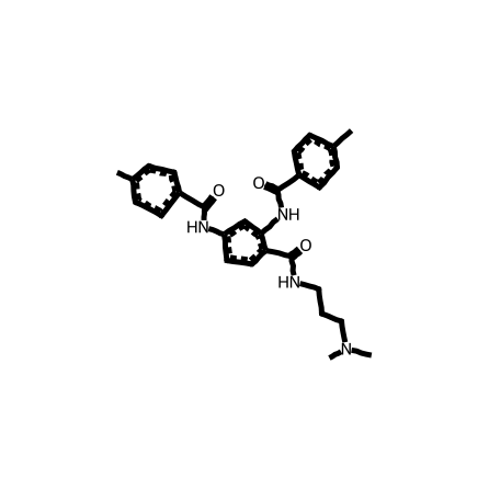 Cc1ccc(C(=O)Nc2ccc(C(=O)NCCCN(C)C)c(NC(=O)c3ccc(C)cc3)c2)cc1